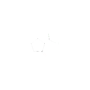 ClCCl.O=C1CCCC1